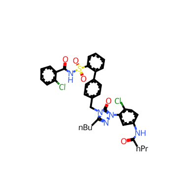 CCCCc1nn(-c2cc(NC(=O)CCC)ccc2Cl)c(=O)n1Cc1ccc(-c2ccccc2S(=O)(=O)NC(=O)c2ccccc2Cl)cc1